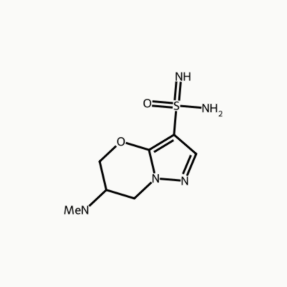 CNC1COc2c(S(=N)(N)=O)cnn2C1